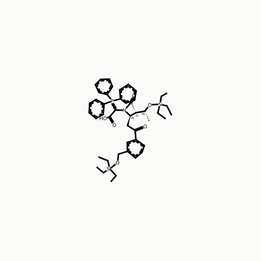 CC[Si](CC)(CC)OCc1cccc(C(=O)C[C@@H]2[C@@H]([C@@H](C)O[Si](CC)(CC)CC)C(=O)N2C(C(=O)O)=P(c2ccccc2)(c2ccccc2)c2ccccc2)c1